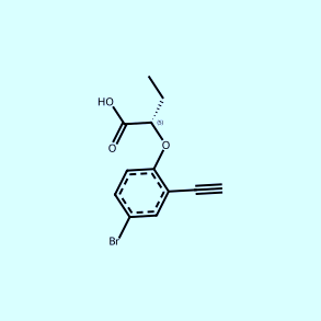 C#Cc1cc(Br)ccc1O[C@@H](CC)C(=O)O